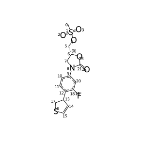 CS(=O)(=O)OC[C@H]1CN(c2ccc(C3C=CSC3)c(F)c2)C(=O)O1